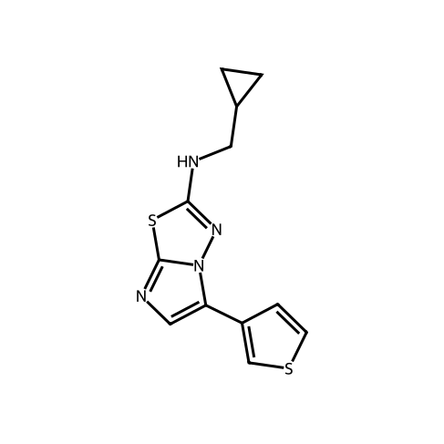 c1cc(-c2cnc3sc(NCC4CC4)nn23)cs1